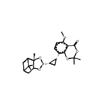 COc1ccc([C@@H]2C[C@@H]2B2OC3CC4CC(C4(C)C)[C@]3(C)O2)c2c1C(=O)OC(C)(C)O2